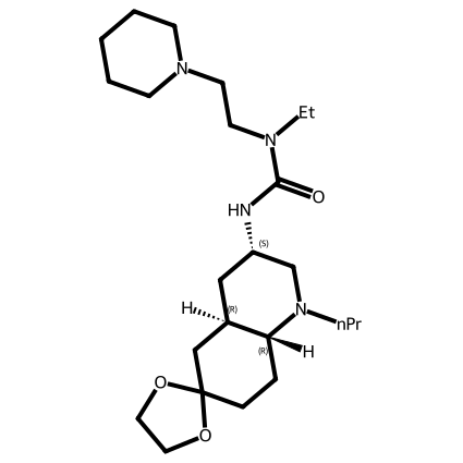 CCCN1C[C@@H](NC(=O)N(CC)CCN2CCCCC2)C[C@@H]2CC3(CC[C@H]21)OCCO3